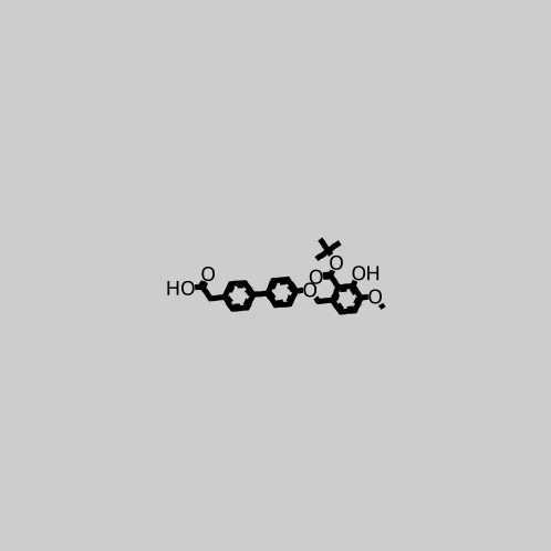 COc1ccc(COc2ccc(-c3ccc(CC(=O)O)cc3)cc2)c(C(=O)OC(C)(C)C)c1O